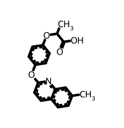 Cc1ccc2ccc(Oc3ccc(OC(C)C(=O)O)cc3)nc2c1